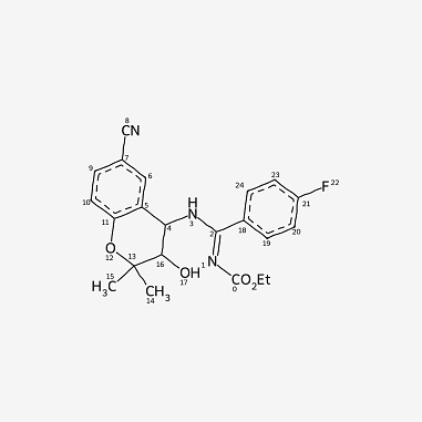 CCOC(=O)N=C(NC1c2cc(C#N)ccc2OC(C)(C)C1O)c1ccc(F)cc1